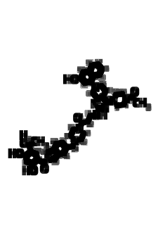 CC(=O)N1CCN(c2nc(NCCC(=O)N3CCN(Cc4ccc5cn(C(=O)c6cc(C(C)C)c(O)cc6O)cc5c4)CC3)nc3c2CCN(c2cc(O)cc4ccccc24)C3)CC1